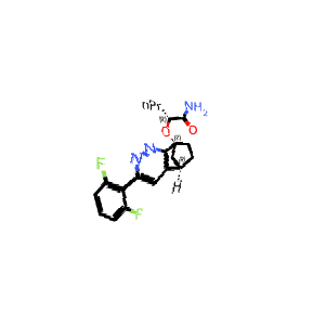 CCC[C@@H](O[C@]12CC[C@H](C1)c1cc(-c3c(F)cccc3F)nnc12)C(N)=O